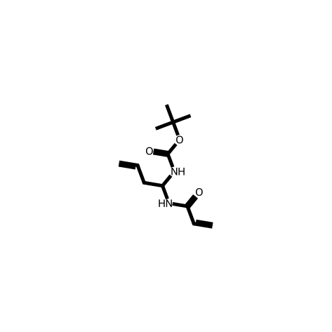 C=CCC(NC(=O)C=C)NC(=O)OC(C)(C)C